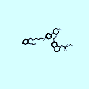 COC(=O)CN1CCCc2ccc(CO[C@H]3CNCC[C@@H]3c3ccc(OCCCOCc4ccccc4OC)cc3)cc21